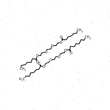 CCCCCCC(=O)OCCOCCOCCOC(=O)CCCCCC.CCCCCCCC(=O)OCCOCCOCCOC(=O)CCCCCCC